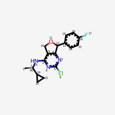 C[C@@H](Nc1nc(Cl)nc2c1COC2c1ccc(F)cc1)C1CC1